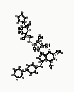 Nc1nc([O-])c2c(n1)n([C@@H]1O[C@H](COP(=O)(O)CP(=O)(O)n3ccnc3)[C@@H](O)[C@H]1O)c[n+]2Cc1ccc(-c2ccccc2)cc1